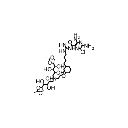 C[C@@H]1OC[C@H]([C@@H](O)[C@H](O)[C@@H](O)CN(CCOC2CCCC(CCCCNC(=N)NC(=O)c3nc(Cl)c(N)nc3N)C2)C[C@H](O)[C@@H](O)[C@H](O)[C@H]2CO[C@@H](C)O2)O1